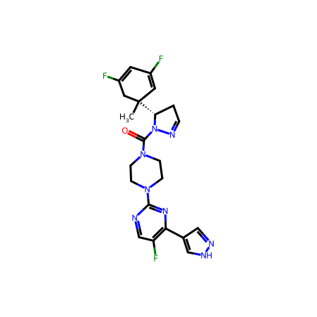 CC1([C@@H]2CC=NN2C(=O)N2CCN(c3ncc(F)c(-c4cn[nH]c4)n3)CC2)C=C(F)C=C(F)C1